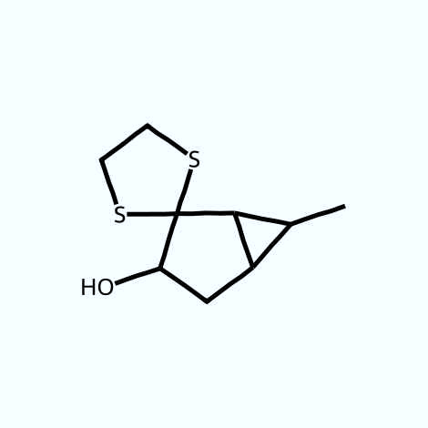 CC1C2CC(O)C3(SCCS3)C12